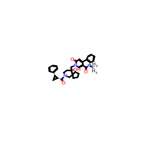 CN(C)C(=O)c1cn(CC2(O)CCN(C(=O)[C@@H]3C[C@@H]3c3ccccc3)CC23CCCC3)c(=O)cc1-c1ccccc1